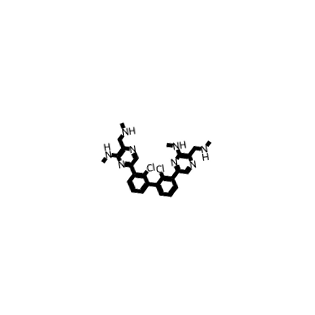 CNCc1ncc(-c2cccc(-c3cccc(-c4cnc(CNC)c(NC)n4)c3Cl)c2Cl)nc1NC